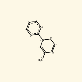 CC1=CN(c2ccccc2)CC=C1